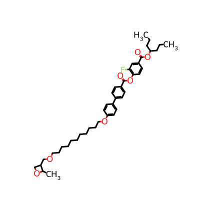 CCCC(CCC)OC(=O)c1ccc(OC(=O)c2ccc(-c3ccc(OCCCCCCCCCCCOCC4COC4C)cc3)cc2)c(F)c1